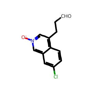 O=CCCc1c[n+]([O-])cc2cc(Cl)ccc12